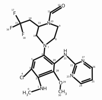 CNc1c(Cl)cc(N2CCN(C=O)C(CC(F)(F)F)C2)c(Nc2ncccn2)c1OC